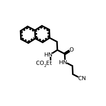 CCOC(=O)NC(Cc1ccc2ccccc2c1)C(=O)NCCC#N